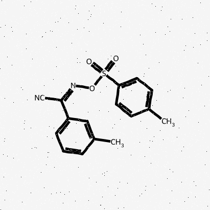 Cc1ccc(S(=O)(=O)ON=C(C#N)c2cccc(C)c2)cc1